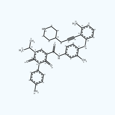 Cc1cc(NC(=O)c2cn(C(C)C)c(=O)n(-c3ccc(P)cc3)c2=O)ccc1Oc1ccnc(N)c1C#CCC1CCNCC1